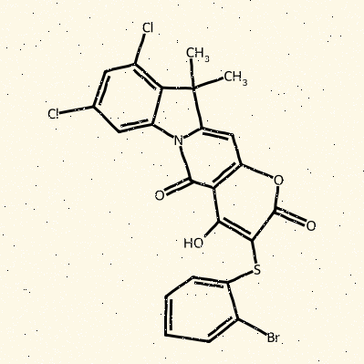 CC1(C)c2c(Cl)cc(Cl)cc2-n2c1cc1oc(=O)c(Sc3ccccc3Br)c(O)c1c2=O